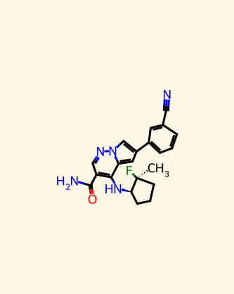 C[C@]1(F)CCC[C@H]1Nc1c(C(N)=O)cnn2cc(-c3cccc(C#N)c3)cc12